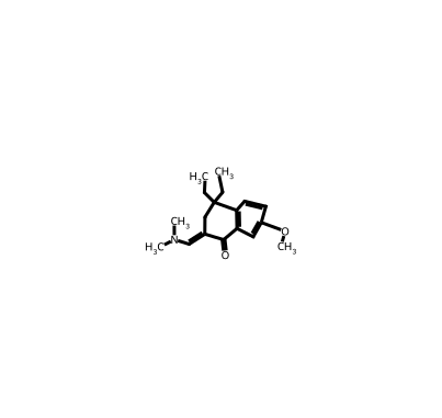 CCC1(CC)CC(=CN(C)C)C(=O)c2cc(OC)ccc21